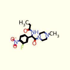 CCC(=O)NC(C(=O)N1CCN(C)CC1)c1ccc([N+](=O)[O-])c(F)c1